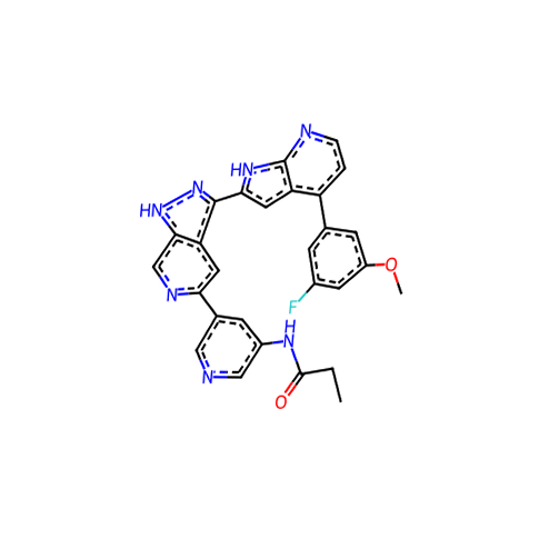 CCC(=O)Nc1cncc(-c2cc3c(-c4cc5c(-c6cc(F)cc(OC)c6)ccnc5[nH]4)n[nH]c3cn2)c1